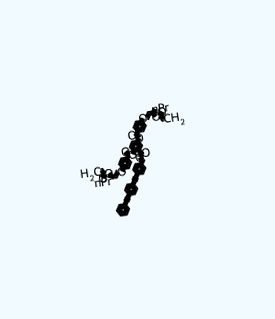 C=CC(=O)OC(CCC)CCOc1ccc(C(=O)Oc2ccc(OC(=O)c3ccc(OCCC(CCC)OC(=O)C=C)cc3)c(C(=O)OCc3ccc(C#Cc4ccc(C#Cc5ccccc5)cc4)cc3)c2)cc1